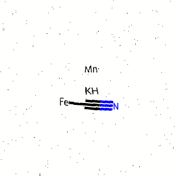 N#[C][Fe].[KH].[Mn]